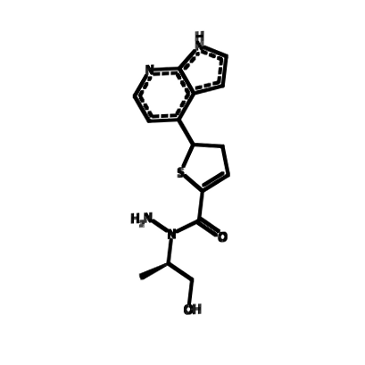 C[C@H](CO)N(N)C(=O)C1=CCC(c2ccnc3[nH]ccc23)S1